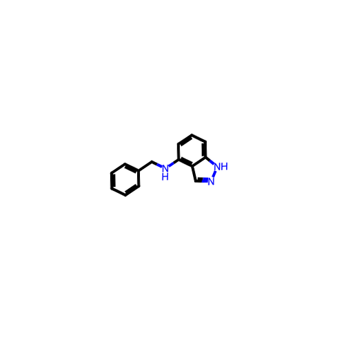 c1ccc(CNc2cccc3[nH]ncc23)cc1